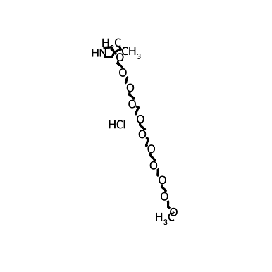 COCCOCCOCCOCCOCCOCCOCCOCCOCCOCCOC1(C(C)C)CCNCC1.Cl